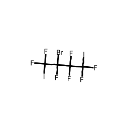 FC(F)(I)C(F)(F)C(F)(Br)C(F)(F)I